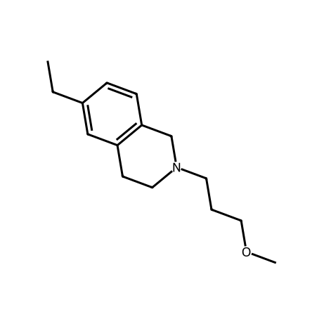 CCc1ccc2c(c1)CCN(CCCOC)C2